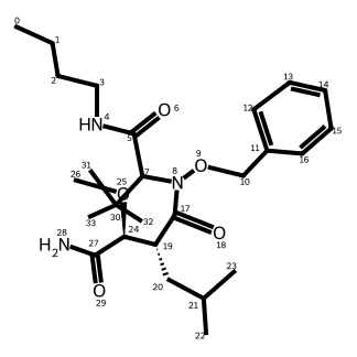 CCCCNC(=O)C(N(OCc1ccccc1)C(=O)[C@H](CC(C)C)[C@H](OC)C(N)=O)C(C)(C)C